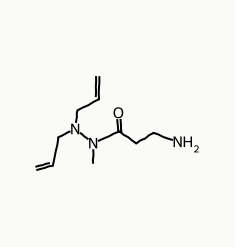 C=CCN(CC=C)N(C)C(=O)CCN